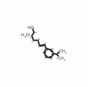 CC(C)c1cccc(/C=C/CC[C@H](C)CO)c1